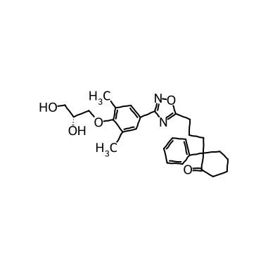 Cc1cc(-c2noc(CCCC3(c4ccccc4)CCCCC3=O)n2)cc(C)c1OC[C@H](O)CO